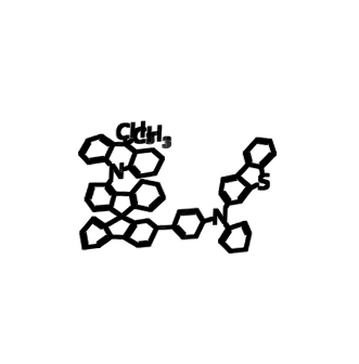 CC1(C)c2ccccc2N(c2cccc3c2C2=C(C=CCC2)C32C3=C(C=CC(C4=CCC(N(C5=CCCC=C5)c5ccc6c(c5)sc5ccccc56)C=C4)C3)c3ccccc32)C2=CCCCC21